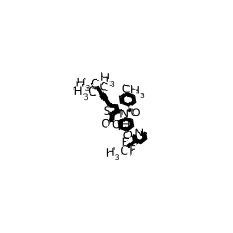 CC(C)(C)C#Cc1cc(N(C(=O)[C@H]2CC[C@H](C)CC2)[C@H]2CC[C@H](Oc3ncccc3C(C)(F)F)CC2)c(C(=O)O)s1